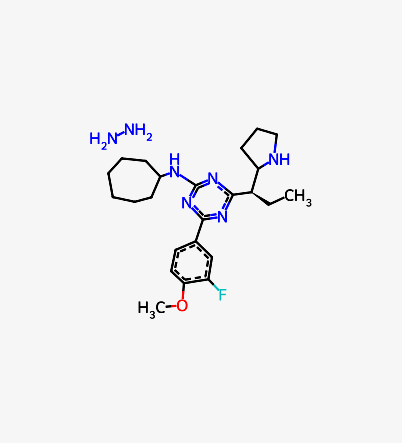 CC[C@@H](c1nc(NC2CCCCCC2)nc(-c2ccc(OC)c(F)c2)n1)C1CCCN1.NN